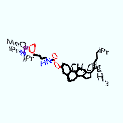 COP(OCCCCNC(=O)OC1CC[C@@]2(C)C(=CCC3C2CC[C@@]2(C)C3CC[C@@H]2[C@H](C)CCCC(C)C)C1)N(C(C)C)C(C)C